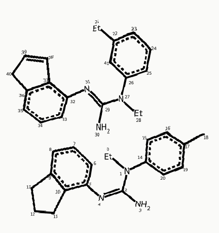 CCN(C(N)=Nc1cccc2c1CCC2)c1ccc(C)cc1.CCc1cccc(N(CC)C(N)=Nc2cccc3c2C=CC3)c1